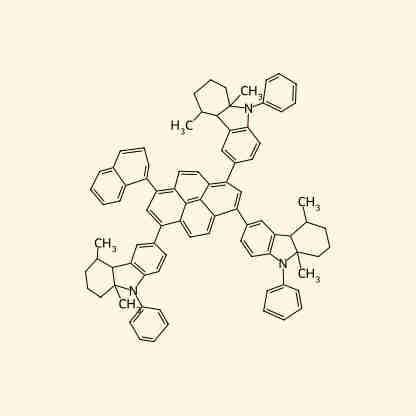 CC1CCCC2(C)C1c1cc(-c3cc(-c4ccc5c(c4)C4C(C)CCCC4(C)N5c4ccccc4)c4ccc5c(-c6cccc7ccccc67)cc(-c6ccc7c(c6)C6C(C)CCCC6(C)N7c6ccccc6)c6ccc3c4c65)ccc1N2c1ccccc1